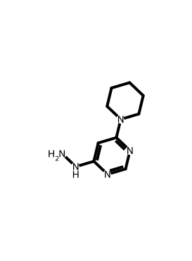 NNc1cc(N2CCCCC2)ncn1